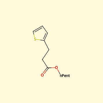 CCCCCOC(=O)CCc1cccs1